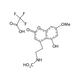 COc1cc(O)c2c(CCNC(=O)O)cc(=O)oc2c1.O=C(O)C(F)(F)F